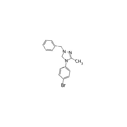 CC1=NN(Cc2ccccc2)CN1c1ccc(Br)cc1